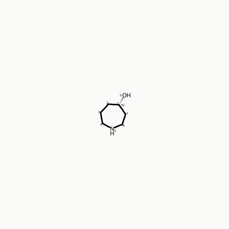 O[C@H]1CCCNCC1